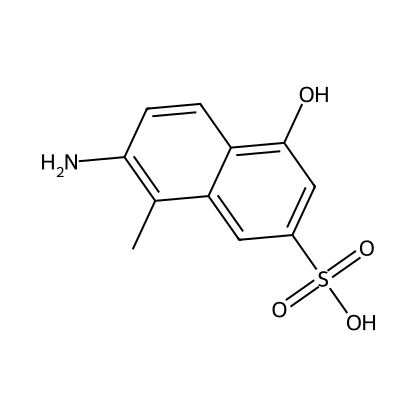 Cc1c(N)ccc2c(O)cc(S(=O)(=O)O)cc12